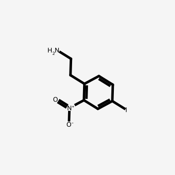 NCCc1ccc(I)cc1[N+](=O)[O-]